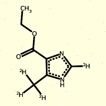 [2H]c1nc(C(=O)OCC)c(C([2H])([2H])[2H])[nH]1